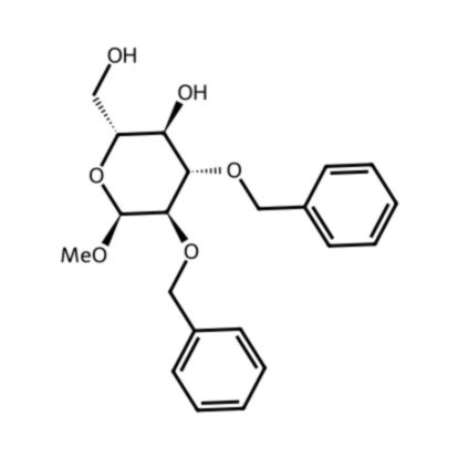 CO[C@H]1O[C@H](CO)[C@@H](O)[C@H](OCc2ccccc2)[C@H]1OCc1ccccc1